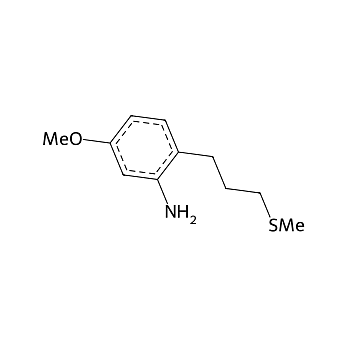 COc1ccc(CCCSC)c(N)c1